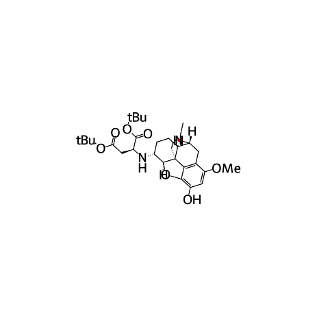 COc1cc(O)c2c3c1C[C@@H]1[C@@H]4CC[C@@H](N[C@@H](CC(=O)OC(C)(C)C)C(=O)OC(C)(C)C)[C@H](O2)[C@]34CCN1C